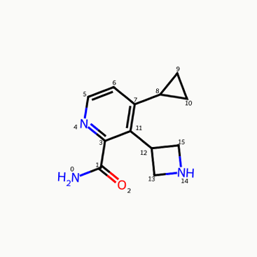 NC(=O)c1nccc(C2CC2)c1C1CNC1